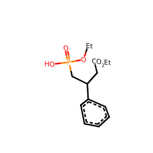 CCOC(=O)CC(CP(=O)(O)OCC)c1ccccc1